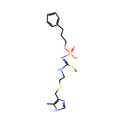 CSC(=NP(=O)(O)OCCCc1ccccc1)NCCSCc1nc[nH]c1C